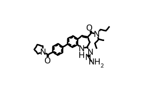 CCCN(C(=O)C1=Cc2ccc(-c3ccc(C(=O)N4CCCC4)cc3)cc2NC(N=NN)C1)C(C)CC